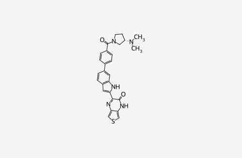 CN(C)[C@H]1CCN(C(=O)c2ccc(-c3ccc4cc(-c5nc6cscc6[nH]c5=O)[nH]c4c3)cc2)C1